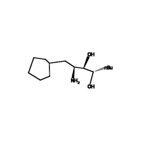 CCCC[C@H](O)[C@H](O)[C@@H](N)CC1CCCCC1